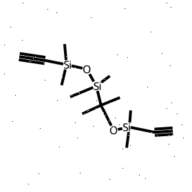 C#C[Si](C)(C)OC(C)(C)[Si](C)(C)O[Si](C)(C)C#C